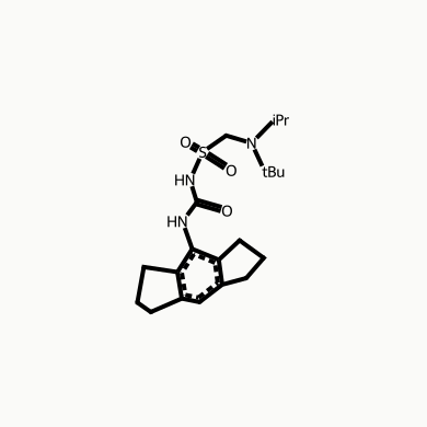 CC(C)N(CS(=O)(=O)NC(=O)Nc1c2c(cc3c1CCC3)CCC2)C(C)(C)C